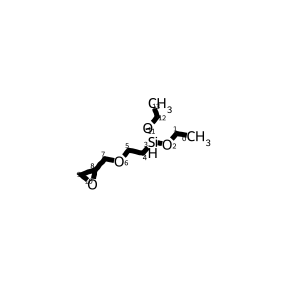 CCO[SiH](CCOCC1CO1)OCC